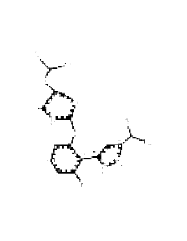 Fc1cccc(Oc2ncc(OC(F)F)cn2)c1-c1cc(C(F)F)no1